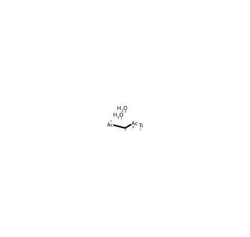 CC(=O)CC(C)=O.O.O.[Ti]